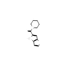 O=C(c1cc2occc2[nH]1)N1CCCCC1